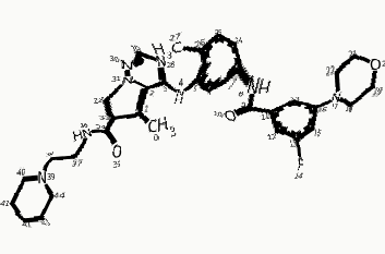 CC1=C2C(Nc3cc(NC(=O)c4cc(F)cc(N5CCOCC5)c4)ccc3C)=NC=NN2CC1C(=O)NCCN1CCCCC1